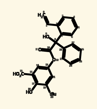 C=Cc1ccccc1C(O)(C(=O)Oc1cc(C(=O)O)c(O)c(C(C)(C)C)c1)c1ccccc1